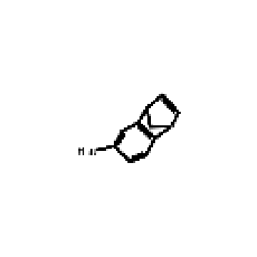 CC(C)(C)c1ccc2c(c1)C1C=CC2C1